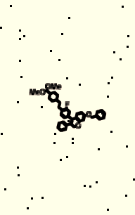 COC(OC)C1CCC(CCc2ccc(C3=C(c4ccccc4)COc4cc(OCc5ccccc5)ccc43)cc2F)CC1